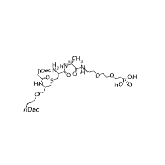 CCCCCCCCCCCCOCC(CSCC(N)C(=O)N[C@@H](C)C(=O)NCCOCCOCCP(=O)(O)O)NC(=O)CCCCCCCCCCC